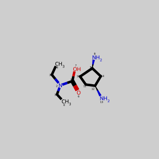 CCN(CC)C(=O)O.N[C@@H]1CC[C@H](N)C1